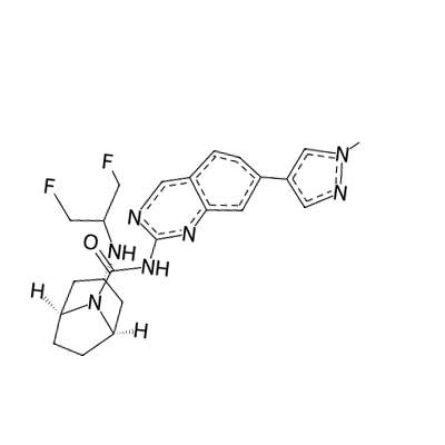 Cn1cc(-c2ccc3cnc(NC(=O)N4[C@@H]5CC[C@H]4C[C@H](NC(CF)CF)C5)nc3c2)cn1